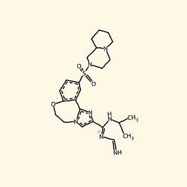 CC(C)N/C(=N\C=N)c1cn2c(n1)-c1cc(S(=O)(=O)N3CCN4CCCCC4C3)ccc1OCC2